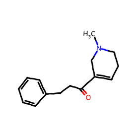 CN1CCC=C(C(=O)CCc2ccccc2)C1